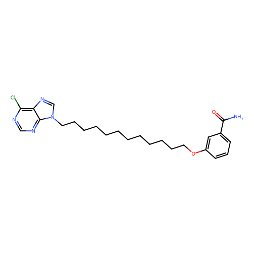 NC(=O)c1cccc(OCCCCCCCCCCCCn2cnc3c(Cl)ncnc32)c1